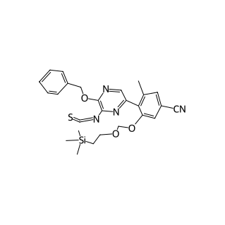 Cc1cc(C#N)cc(OCOCC[Si](C)(C)C)c1-c1cnc(OCc2ccccc2)c(N=C=S)n1